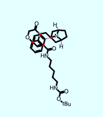 CC(C)(C)OC(=O)NCCCCCNC(=O)c1ccccc1[C@@H]1C[C@H]2CC[C@@H](C1)N2CCN1C(=O)COc2ccccc21